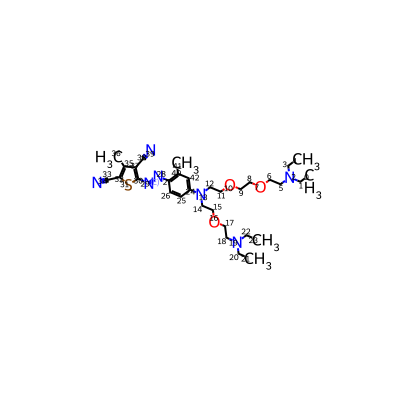 CCN(CC)CCOCCOCCN(CCOCCN(CC)CC)c1ccc(/N=N/c2sc(C#N)c(C)c2C#N)c(C)c1